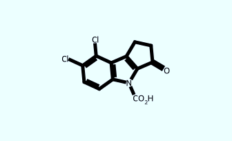 O=C1CCc2c1n(C(=O)O)c1ccc(Cl)c(Cl)c21